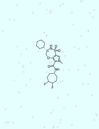 Cn1cc2c(c1C(=O)NC1CCC(F)C(F)CC1)OC[C@H](C1CCCCC1)NS2(=O)=O